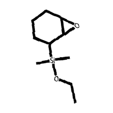 CCO[Si](C)(C)C1CCCC2OC21